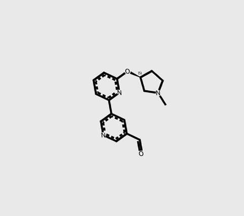 CN1CC[C@H](Oc2cccc(-c3cncc(C=O)c3)n2)C1